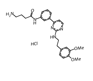 COc1ccc(CCNc2nccc(-c3cccc(NC(=O)CCCN)c3)n2)cc1OC.Cl